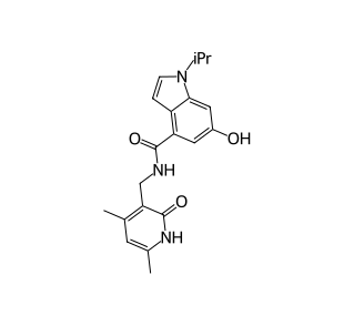 Cc1cc(C)c(CNC(=O)c2cc(O)cc3c2ccn3C(C)C)c(=O)[nH]1